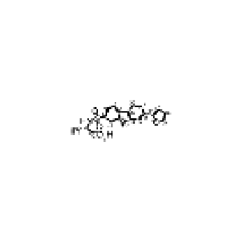 CC(C)[C@H](NS(=O)(=O)c1ccc2c(c1)oc1cc(-c3ccco3)ccc12)C(=O)O